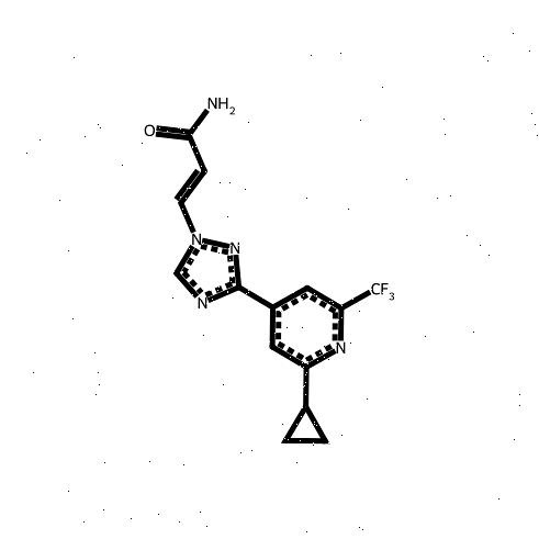 NC(=O)C=Cn1cnc(-c2cc(C3CC3)nc(C(F)(F)F)c2)n1